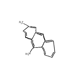 Cc1ccc2c(N)c3ccccc3cc2c1